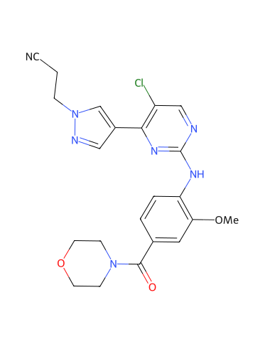 COc1cc(C(=O)N2CCOCC2)ccc1Nc1ncc(Cl)c(-c2cnn(CCC#N)c2)n1